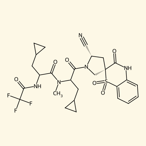 CN(C(=O)C(CC1CC1)NC(=O)C(F)(F)F)C(CC1CC1)C(=O)N1C[C@]2(C[C@H]1C#N)C(=O)Nc1ccccc1S2(=O)=O